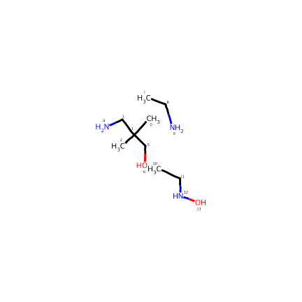 CC(C)(CN)CO.CCN.CCNO